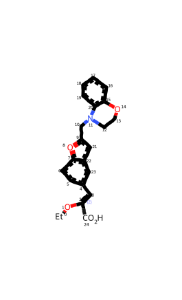 CCO/C(=C\c1ccc2oc(CN3CCOc4ccccc43)cc2c1)C(=O)O